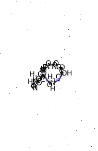 CC1=C\[C@@H](O)CC(=O)Cc2nc(co2)C(=O)N2CCC[C@@H]2C(=O)O[C@H]([C@@H](C)COC(=O)Nc2cccnc2)[C@H](C)/C=C/C(=O)NC\C=C\1